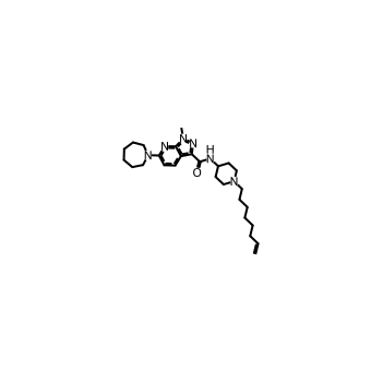 C=CCCCCCCN1CCC(NC(=O)c2nn(C)c3nc(N4CCCCCC4)ccc23)CC1